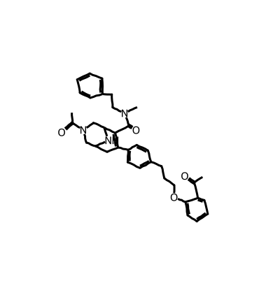 CC(=O)c1ccccc1OCCCc1ccc(C2=C(C(=O)N(C)CCc3ccccc3)C3CN(C(C)=O)CC(C2)N3)cc1